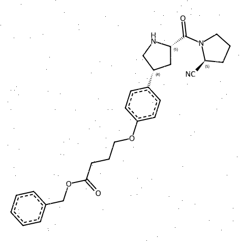 N#C[C@@H]1CCCN1C(=O)[C@@H]1C[C@H](c2ccc(OCCCC(=O)OCc3ccccc3)cc2)CN1